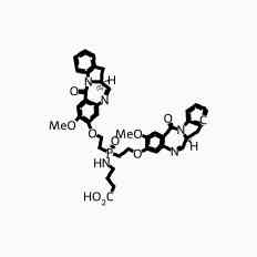 COc1cc2c(cc1OCCP(=O)(CCOc1cc3c(cc1OC)C(=O)N1c4ccccc4C[C@H]1C=N3)NCCCC(=O)O)N=C[C@@H]1Cc3ccccc3N1C2=O